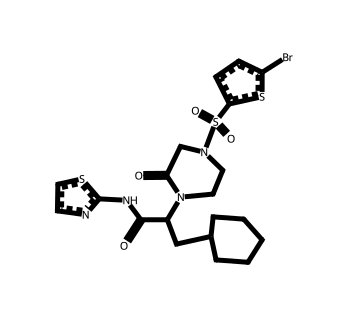 O=C(Nc1nccs1)C(CC1CCCCC1)N1CCN(S(=O)(=O)c2ccc(Br)s2)CC1=O